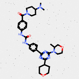 CC1COCCN1c1nc(-c2ccc(NC(=O)Nc3ccc(C(=O)N4CCC(N(C)C)CC4)cc3)cc2)nc(C2CCOCC2)n1